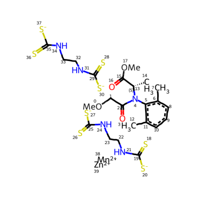 COCC(=O)N(c1c(C)cccc1C)[C@@H](C)C(=O)OC.S=C([S-])NCCNC(=S)[S-].S=C([S-])NCCNC(=S)[S-].[Mn+2].[Zn+2]